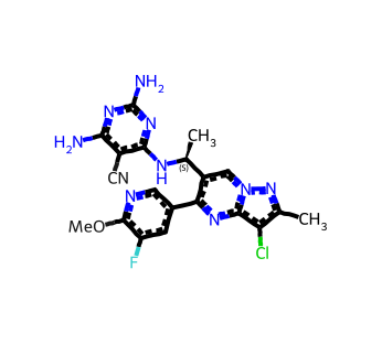 COc1ncc(-c2nc3c(Cl)c(C)nn3cc2[C@H](C)Nc2nc(N)nc(N)c2C#N)cc1F